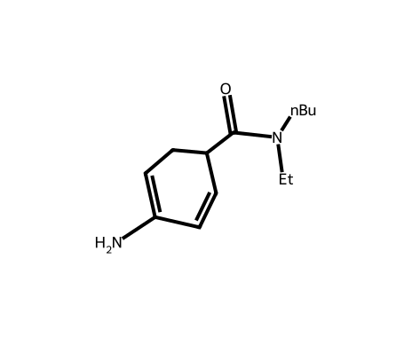 CCCCN(CC)C(=O)C1C=CC(N)=CC1